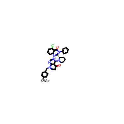 COc1ccc(Cn2ccc(=O)c3c(N4CCCC[C@H]4c4nc5cccc(Cl)c5c(=O)n4-c4ccccc4)ncnc32)cc1